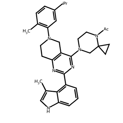 CC(=O)N1CCN(c2nc(-c3cccc4[nH]cc(C)c34)nc3c2CN(c2cc(C(C)C)ccc2C)CC3)CC12CC2